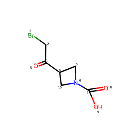 O=C(CBr)C1CN(C(=O)O)C1